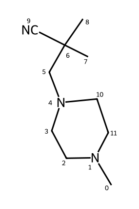 CN1CCN(CC(C)(C)C#N)CC1